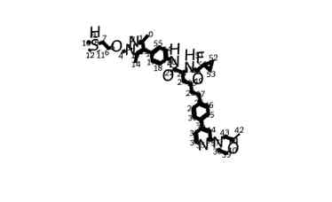 Cc1nn(COCC[SH](C)(C)(C)C)c(C)c1-c1ccc(NC(=O)C(CCCCc2ccc(-c3ccnc(N4CCO[C@H](C)C4)c3)cc2)NC(=O)C2(F)CC2)cc1